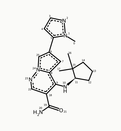 Cn1nccc1-c1cc2c(N[C@@H]3CCCC3(C)C)c(C(N)=O)cnn2c1